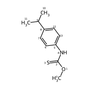 COC(=S)Nc1ccc(C(C)C)cc1